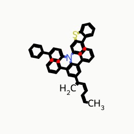 C=C(/C=C\C=C/C)c1cc(-c2ccccc2)c(N(c2ccc(-c3ccccc3)cc2)c2ccc3c(c2)sc2ccccc23)c(-c2ccccc2)c1